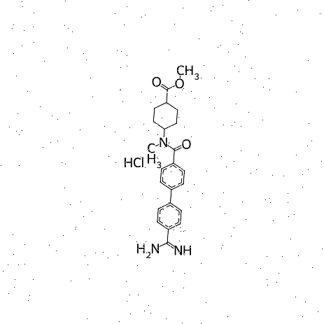 COC(=O)C1CCC(N(C)C(=O)c2ccc(-c3ccc(C(=N)N)cc3)cc2)CC1.Cl